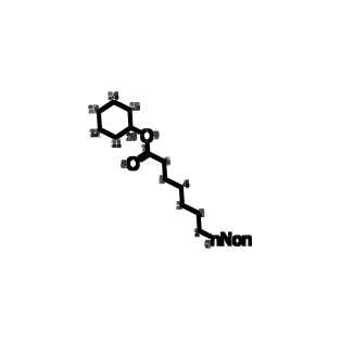 CCCCCCCCCCCCCCCC(=O)OC1CCCCC1